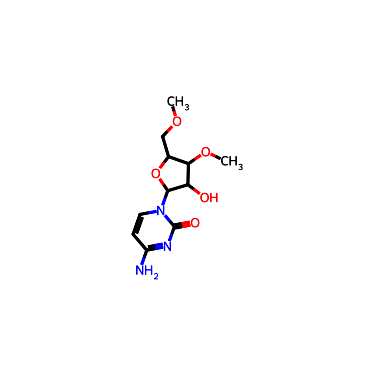 COCC1OC(n2ccc(N)nc2=O)C(O)C1OC